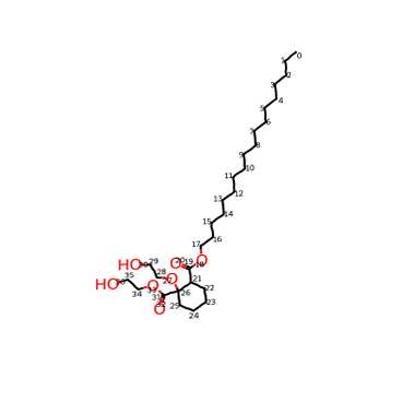 CCCCCCCCCCCCCCCCCCOC(=O)C1CCCCC1(OCCO)C(=O)OCCO